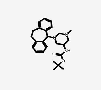 CN1CC(NC(=O)OC(C)(C)C)CN(C2c3ccccc3CCc3ccccc32)C1